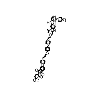 COC1CCN(c2nccc(Nc3cc4c(cn3)nc(COCCN3CCN(c5ccc(OCCCN6CCN(c7ccc8c(c7)C(=O)N(C7CCC(=O)NC7=O)C8=O)CC6)cc5)CC3)n4C(C)C)n2)CC1